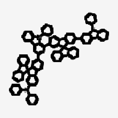 c1ccc(N(c2ccccc2)c2ccc3c(c2)C2(c4ccccc4-c4ccccc42)c2cc(-c4cc(-c5ccc6c(c5)C5(c7ccccc7-c7ccccc75)c5cc(-c7ccc8c9ccccc9n(-c9ccccc9)c8c7)ccc5-6)c5c(c4)c4ccccc4n5-c4ccccc4)ccc2-3)cc1